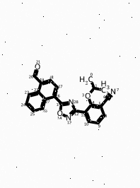 CC(C)Oc1c(C#N)cccc1-c1noc(-c2ccc(C=O)c3ccccc23)n1